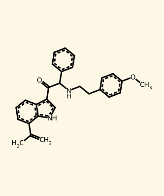 C=C(C)c1cccc2c(C(=O)C(NCCc3ccc(OC)cc3)c3ccccc3)c[nH]c12